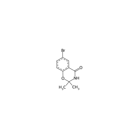 CC1(C)NC(=O)c2cc(Br)ccc2O1